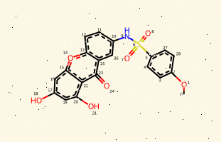 COc1ccc(S(=O)(=O)Nc2ccc3oc4cc(O)cc(O)c4c(=O)c3c2)cc1